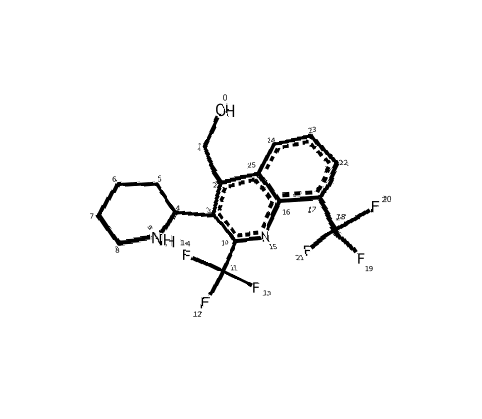 OCc1c(C2CCCCN2)c(C(F)(F)F)nc2c(C(F)(F)F)cccc12